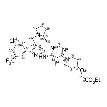 CCOC(=O)COC1CCN(c2ncnc(Nc3nc(-c4cc(Cl)cc(C(F)(F)F)c4)c(CN4CCC[C@H]4C)s3)c2F)CC1